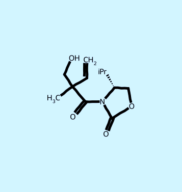 C=CC(C)(CO)C(=O)N1C(=O)OC[C@H]1C(C)C